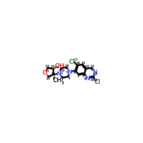 C[C@]1(N2CCN(c3cc4nc(Cl)ncc4cc3Cl)CC2)COC[C@H]1O